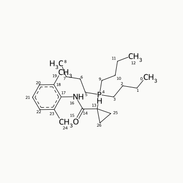 CCCC[PH](CCCC)(CCCC)C1(C(=O)Nc2c(C)cccc2C)CC1